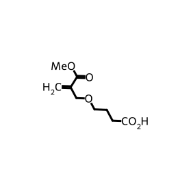 C=C(COCCCC(=O)O)C(=O)OC